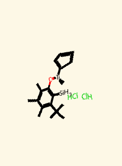 Cl.Cl.[CH2]=[Ti]([O]c1c(C)c(C)c(C)c(C(C)(C)C)c1[SiH3])[C]1=CC=CC1